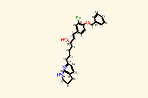 O[C@@H](/C=C/c1ccc(OCc2ccccc2)c(F)c1)CCCCc1ccc2c(n1)NCCC2